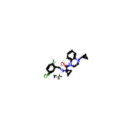 CN(Cc1cc(Cl)ccc1Cl)C1(C(=O)N2CCN(C3CC3)c3ccccc32)CC1